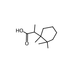 CC(C(=O)O)C1(C)CCCCC1(C)C